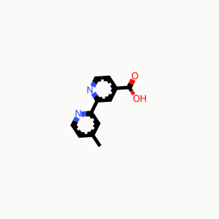 Cc1ccnc(-c2cc(C(=O)O)ccn2)c1